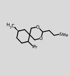 CSCCC1OCC2(CO1)C[C@H](C)CCC2C(C)C